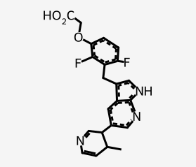 CC1C=CN=CC1c1cnc2[nH]cc(Cc3c(F)ccc(OCC(=O)O)c3F)c2c1